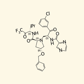 CC(C)[C@H](NC(=O)[C@@H]1C[C@@H](OCc2ccccc2)CN1C[C@H](NC(=O)c1cnccn1)C(=O)c1cccc(Cl)c1)C(=O)C(F)(F)F